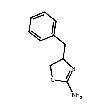 NC1=NC(Cc2ccccc2)CO1